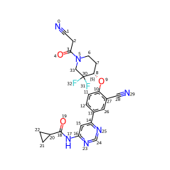 N#CCC(=O)N1CC[C@H](Oc2ccc(-c3cc(NC(=O)C4CC4)ncn3)cc2C#N)C(F)(F)C1